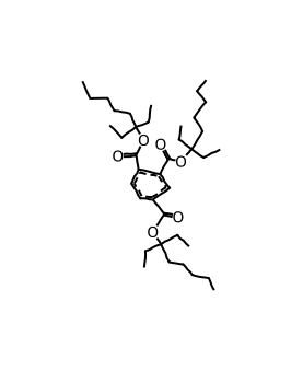 CCCCCC(CC)(CC)OC(=O)c1ccc(C(=O)OC(CC)(CC)CCCCC)c(C(=O)OC(CC)(CC)CCCCC)c1